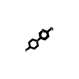 CCc1ccc(N2CCC(F)CC2)cn1